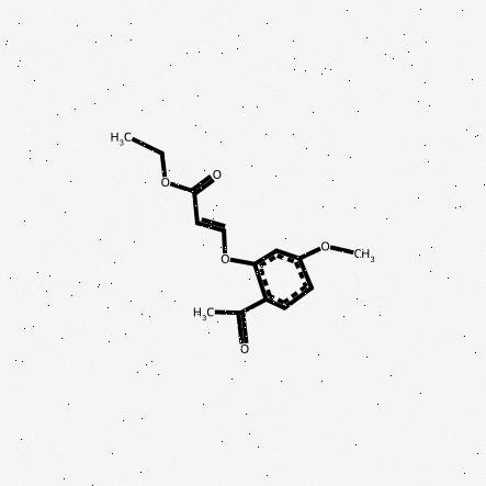 CCOC(=O)C=COc1cc(OC)ccc1C(C)=O